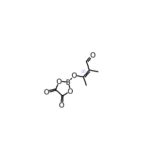 C/C(C=O)=C(\C)OB1OC(=O)C(=O)O1